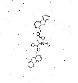 NC(CC(=O)OCc1cccc2c1Cc1ccccc1-2)C(=O)OCc1cccc2c1Cc1ccccc1-2